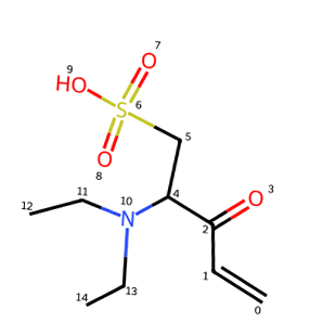 C=CC(=O)C(CS(=O)(=O)O)N(CC)CC